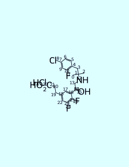 CC(C)(Cc1ccc(Cl)cc1F)NC[C@@H](O)c1cc(CCC(=O)O)cc(F)c1F.Cl